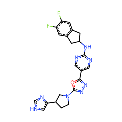 Fc1cc2c(cc1F)CC(Nc1ncc(-c3nnc(N4CCC(c5c[nH]cn5)C4)o3)cn1)C2